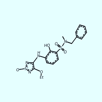 CCOc1n[s+]([O-])nc1Nc1cccc(S(=O)(=O)N(C)Cc2ccccc2)c1O